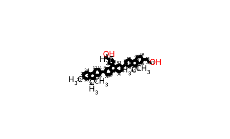 C=CC1(CCCO)c2cc(-c3ccc4c(c3)C(C)(C)c3cc(C)ccc3-4)ccc2-c2ccc(-c3ccc4c(c3)C(C)(C)c3cc(CCO)ccc3-4)cc21